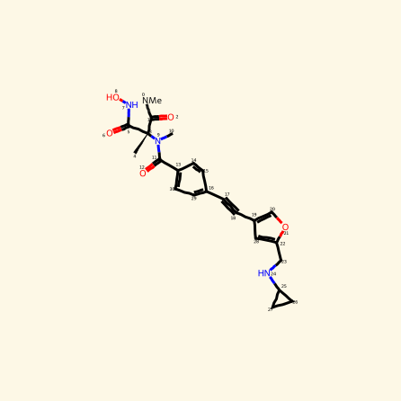 CNC(=O)[C@@](C)(C(=O)NO)N(C)C(=O)c1ccc(C#Cc2coc(CNC3CC3)c2)cc1